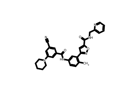 Cc1ccc(NC(=O)c2cc(C#N)cc(N3CCCCC3)c2)cc1-c1cc(C(=O)NCc2ccccn2)on1